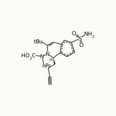 C#CCC[C@@H]1c2ccc(S(N)(=O)=O)cc2C=C(C(C)(C)C)N1N(CCC)C(=O)O